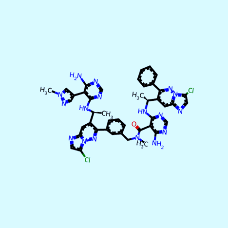 C[C@H](Nc1ncnc(N)c1C(=O)N(C)Cc1cccc(-c2nn3c(Cl)cnc3cc2[C@H](C)Nc2ncnc(N)c2-c2cnn(C)c2)c1)c1cc2ncc(Cl)n2nc1-c1ccccc1